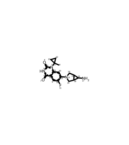 CC1(n2c(=O)[nH]c(=O)c3cc(F)c(N4CC5C(N)C5C4)cc32)CC1